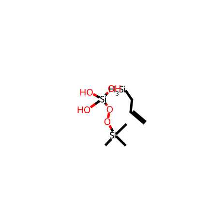 C=CC[SiH3].C[Si](C)(C)OO[Si](O)(O)O